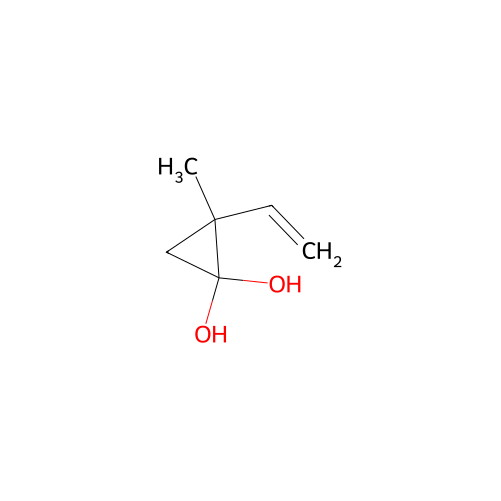 C=CC1(C)CC1(O)O